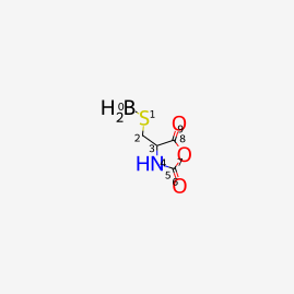 BSCC1NC(=O)OC1=O